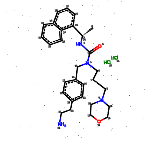 C[C@H](NC(=O)N(CCCN1CCOCC1)Cc1ccc(CCN)cc1)c1cccc2ccccc12.Cl.Cl